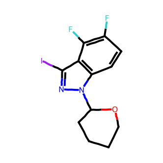 Fc1ccc2c(c(I)nn2C2CCCCO2)c1F